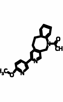 COc1ccc(-c2cc3c(cn2)CN(C(C)=O)c2ccccc2CC3)cn1